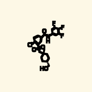 C[C@]1(CS(=O)(=O)c2cc(C(=O)Nc3cc(F)c(F)c(F)c3)ccc2Cl)CC[C@@H](CO)CC1